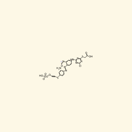 NO/C=N\c1cc(Nc2nc(Cl)nc(SCC(=O)O)n2)ccc1N=Nc1ccc(SC#COOS(=O)(=O)O)cc1